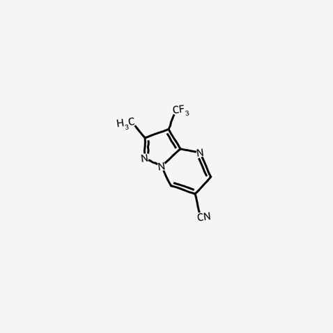 Cc1nn2cc(C#N)cnc2c1C(F)(F)F